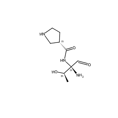 C[C@@H](O)[C@@](N)(C=O)NC(=O)[C@H]1CCNC1